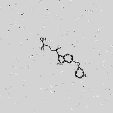 O=C(O)CCC(=O)c1c[nH]c2cc(Oc3cccnc3)ccc12